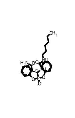 CCCCCCNC(=O)N[C@H](CC(N)=O)P(=O)(Oc1ccccc1)Oc1ccccc1